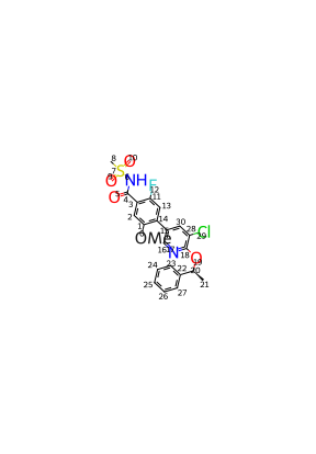 COc1cc(C(=O)NS(C)(=O)=O)c(F)cc1-c1cnc(O[C@@H](C)c2ccccc2)c(Cl)c1